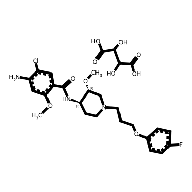 COc1cc(N)c(Cl)cc1C(=O)N[C@@H]1CCN(CCCOc2ccc(F)cc2)C[C@H]1OC.O=C(O)C(O)C(O)C(=O)O